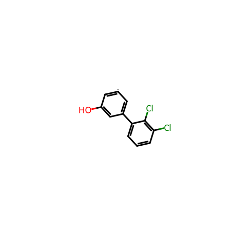 Oc1c[c]cc(-c2cccc(Cl)c2Cl)c1